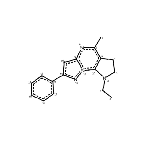 CCN1CCc2c(C)nc3cc(-c4ccccc4)nn3c21